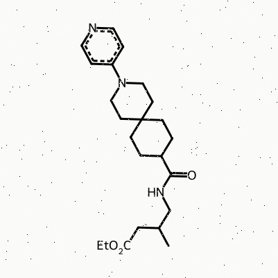 CCOC(=O)CC(C)CNC(=O)C1CCC2(CC1)CCN(c1ccncc1)CC2